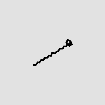 CCCCCCCCCCCCCCCCCCC12C=CC(CC1)C2